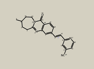 CC1CCc2nc3cc(/C=C/c4cc(C#N)ccn4)ccc3c(=O)n2CC1